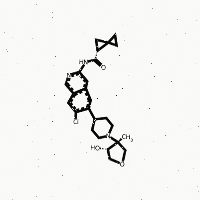 C[C@@]1(N2CCC(c3cc4cc(NC(=O)[C@@H]5CC56CC6)ncc4cc3Cl)CC2)COC[C@@H]1O